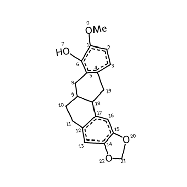 COc1ccc2c(c1O)CC1CCc3cc4c(cc3C1C2)OCO4